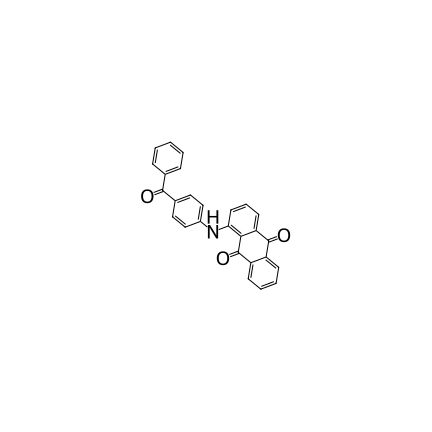 O=C(c1ccccc1)c1ccc(Nc2cccc3c2C(=O)c2ccccc2C3=O)cc1